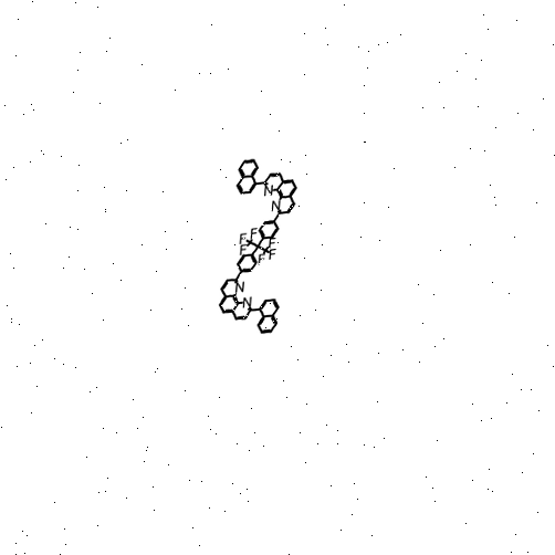 FC(F)(F)C(c1ccc(-c2ccc3ccc4ccc(-c5cccc6ccccc56)nc4c3n2)cc1)(c1ccc(-c2ccc3ccc4ccc(-c5cccc6ccccc56)nc4c3n2)cc1)C(F)(F)F